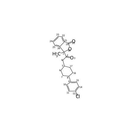 CC1(C(=O)CC2CCC(c3ccc(Cl)cc3)CC2)OC(=O)c2ccccc21